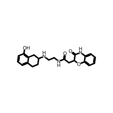 O=C(CC1Oc2ccccc2NC1=O)NCCNC1CCc2cccc(O)c2C1